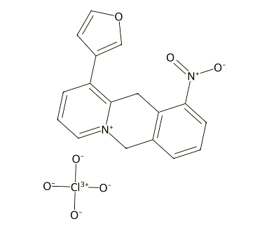 O=[N+]([O-])c1cccc2c1Cc1c(-c3ccoc3)ccc[n+]1C2.[O-][Cl+3]([O-])([O-])[O-]